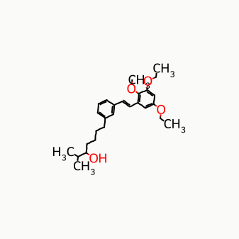 CCOc1cc(C=Cc2cccc(CCCCC(O)C(C)C)c2)c(OC)c(OCC)c1